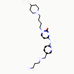 CNC1CCN(CCCCn2ccc(Nc3ccc(CNCCCN)cn3)nc2=O)CC1